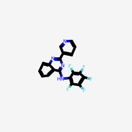 Fc1c(F)c(F)c(Nc2nc(-c3cccnc3)nc3ccccc23)c(F)c1F